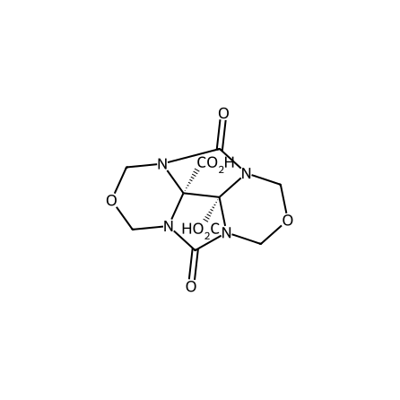 O=C1N2COCN3C(=O)N4COCN1[C@]4(C(=O)O)[C@]23C(=O)O